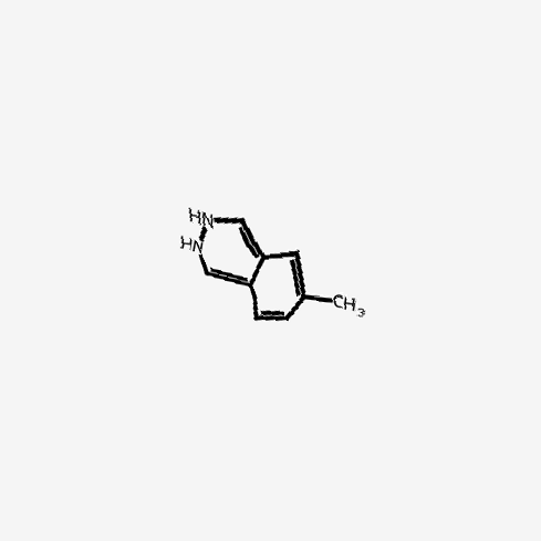 Cc1ccc2c(c1)=CNNC=2